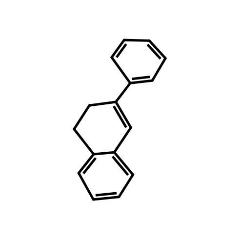 C1=C(c2ccccc2)CCc2ccccc21